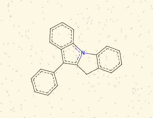 c1ccc(-c2c3n(c4ccccc24)-c2ccccc2C3)cc1